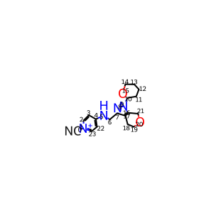 N#C[n+]1ccc(NCc2nn(C3CCCCO3)c3c2CCOC3)cc1